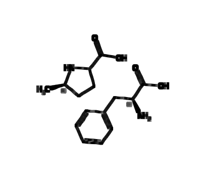 C[C@@H]1CCC(C(=O)O)N1.N[C@@H](Cc1ccccc1)C(=O)O